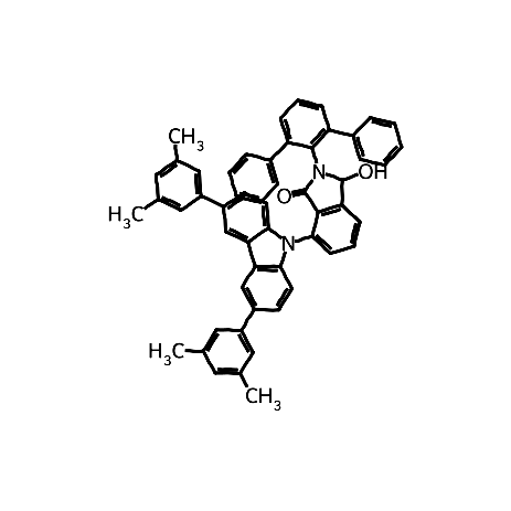 Cc1cc(C)cc(-c2ccc3c(c2)c2cc(-c4cc(C)cc(C)c4)ccc2n3-c2cccc3c2C(=O)N(c2c(-c4ccccc4)cccc2-c2ccccc2)C3O)c1